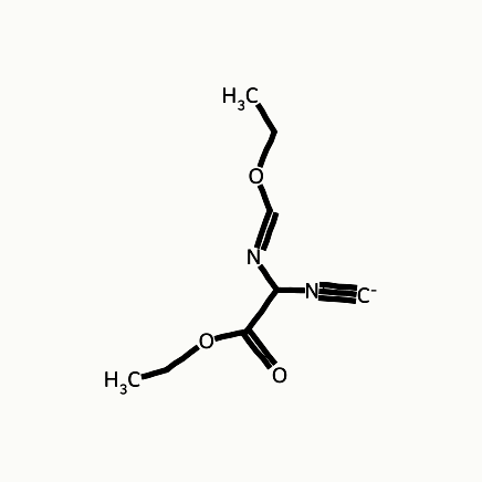 [C-]#[N+]C(N=COCC)C(=O)OCC